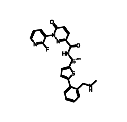 CNCc1ccccc1-c1ccc([C@@H](C)NC(=O)c2ccc(=O)n(-c3cccnc3F)n2)s1